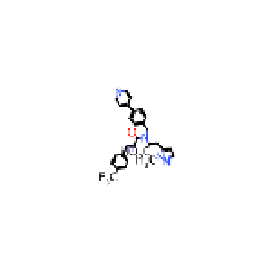 Cn1nccc1CC(C(=O)O)N(Cc1ccc(-c2ccncc2)cc1)C(=O)/C=C/c1ccc(C(F)(F)F)cc1